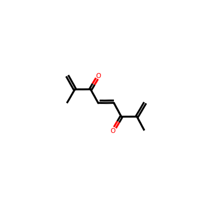 C=C(C)C(=O)C=CC(=O)C(=C)C